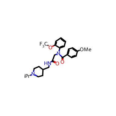 COc1ccc(C(=O)N(CC(=O)NCC2CCN(C(C)C)CC2)c2ccccc2OC(F)(F)F)cc1